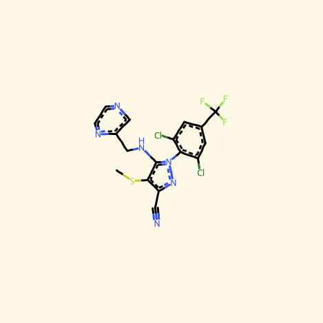 CSc1c(C#N)nn(-c2c(Cl)cc(C(F)(F)F)cc2Cl)c1NCc1cnccn1